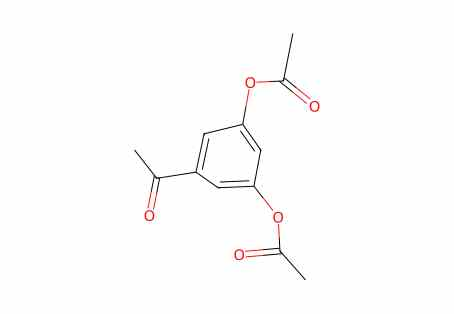 CC(=O)Oc1cc(OC(C)=O)cc(C(C)=O)c1